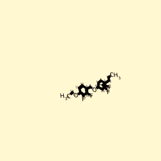 CCCC12CCC(OCc3ccc(OCC)c(F)c3F)(CC1)CC2(F)F